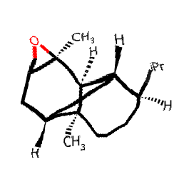 CC(C)[C@H]1CC[C@@]2(C)[C@@H]3CC4O[C@@]4(C)[C@H]2[C@H]13